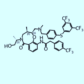 C[C@@H]1CN([C@@H](C)CO)C(=O)c2cccc(NC(=O)Cc3ccc(C(F)(F)F)cc3)c2O[C@@H]1CN(C)Cc1ccc(Sc2cc(C(F)(F)F)cc(C(F)(F)F)c2)cc1